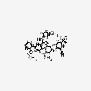 CCOc1ncccc1-c1ccc(N2CC[C@H](Oc3ccc(C(F)(F)F)nc3C#N)C[C@@H]2CC)c(C(=O)N[C@@H]2CCN(C)C2)n1